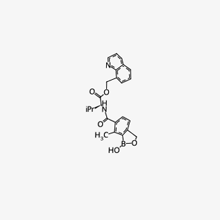 Cc1c(C(=O)N[C@H](C(=O)OCc2cccc3cccnc23)C(C)C)ccc2c1B(O)OC2